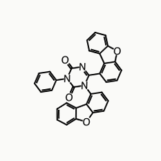 O=c1nc(-c2cccc3oc4ccccc4c23)n(-c2cccc3oc4ccccc4c23)c(=O)n1-c1ccccc1